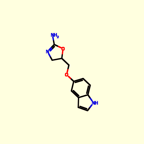 NC1=NCC(COc2ccc3[nH]ccc3c2)O1